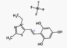 CC[n+]1nc(C)sc1/C=C/c1c(O)cc(O)cc1O.F[B-](F)(F)F